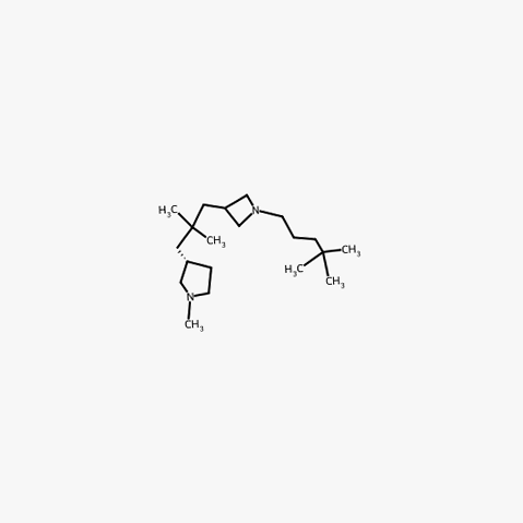 CN1CC[C@@H](CC(C)(C)CC2CN(CCCC(C)(C)C)C2)C1